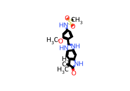 COc1cc(NS(C)(=O)=O)ccc1C1Nc2cc3c(cc2N1)C(C)(C)C(=O)N3